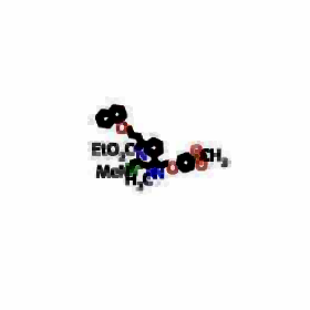 CCOC(=O)c1c(CCCOc2cccc3ccccc23)c2cccc(-c3c(COc4ccc(S(C)(=O)=O)cc4)nn(C)c3CBr)c2n1CCCNC